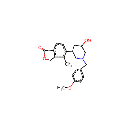 COc1ccc(CN2CC(O)CC(c3ccc4c(c3C)COC4=O)C2)cc1